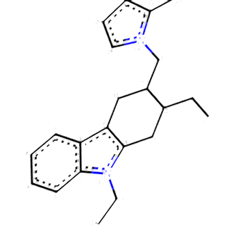 CCC1Cc2c(c3ccccc3n2CC)CC1Cn1cccc1C